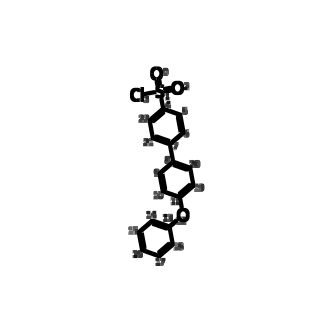 O=S(=O)(Cl)c1ccc(-c2ccc(Oc3ccccc3)cc2)cc1